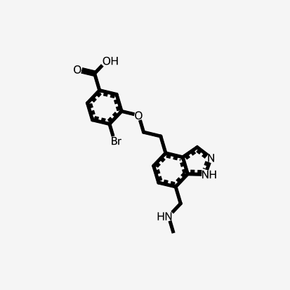 CNCc1ccc(CCOc2cc(C(=O)O)ccc2Br)c2cn[nH]c12